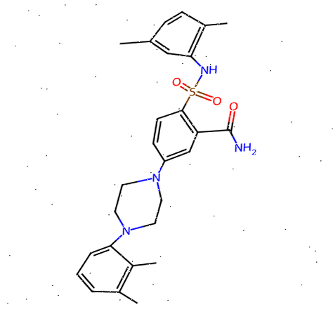 Cc1ccc(C)c(NS(=O)(=O)c2ccc(N3CCN(c4cccc(C)c4C)CC3)cc2C(N)=O)c1